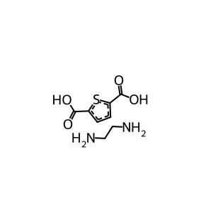 NCCN.O=C(O)c1ccc(C(=O)O)s1